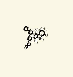 CCCC1(C)CCC(Cl)CNC(C(C(=O)NC2C=NC(C3CCCCC3)CC2N2CCC(N3CCC4(COC4)C3)CC2)C(N)N)C1